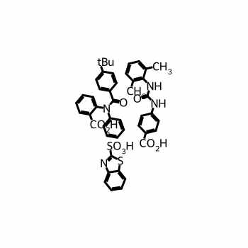 CC(C)(C)c1ccc(C(=O)N(c2ccccc2)c2ccccc2C(=O)O)cc1.Cc1cccc(C)c1NC(=O)Nc1ccc(C(=O)O)cc1.O=S(=O)(O)c1nc2ccccc2s1